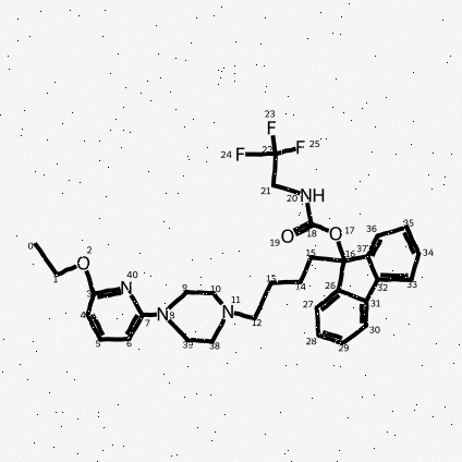 CCOc1cccc(N2CCN(CCCCC3(OC(=O)NCC(F)(F)F)c4ccccc4-c4ccccc43)CC2)n1